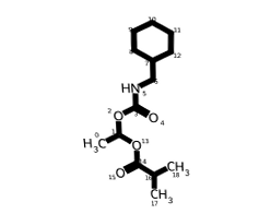 CC(OC(=O)NCC1CCCCC1)OC(=O)C(C)C